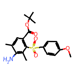 COc1ccc(S(=O)(=O)c2c(C(=O)OC(C)(C)C)cc(C)c(N)c2C)cc1